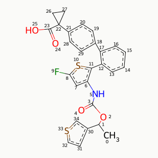 CC(OC(=O)Nc1cc(F)sc1-c1ccccc1-c1ccc(C2(C(=O)O)CC2)cc1)c1ccsc1